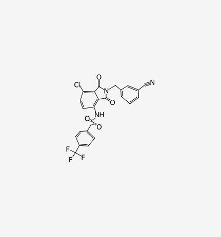 N#Cc1cccc(CN2C(=O)c3c(Cl)ccc(NS(=O)(=O)c4ccc(C(F)(F)F)cc4)c3C2=O)c1